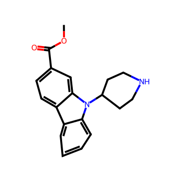 COC(=O)c1ccc2c3ccccc3n(C3CCNCC3)c2c1